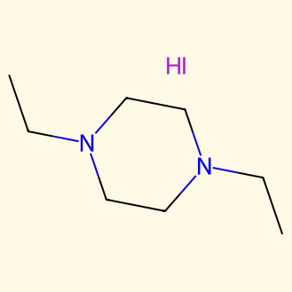 CCN1CCN(CC)CC1.I